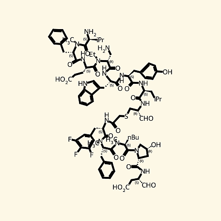 CCCC[C@@H](C(=O)N1C[C@H](O)C[C@@H]1C(=O)N[C@H](C=O)CC(=O)O)N(C)C(=O)[C@H](Cc1ccccc1)N(C)C(=O)[C@H](Cc1cc(F)c(F)c(F)c1)NC(=O)CSC[C@@H](C=O)NC(=O)[C@H](CC(C)C)NC(=O)[C@H](Cc1ccc(O)cc1)NC(=O)[C@H](Cc1c[nH]c2ccccc12)NC(=O)[C@@H](CN)N(CC)C(=O)[C@H](CCC(=O)O)NC(=O)[C@H](Cc1ccccc1)N(C)C(=O)[C@@H](N)C(C)C